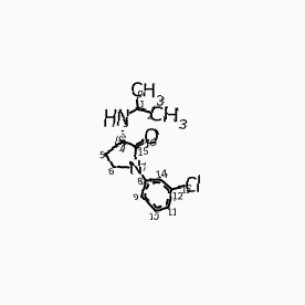 CC(C)N[C@H]1CCN(c2cccc(Cl)c2)C1=O